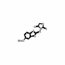 COc1ccc2s/c(=N\N3C(=O)CSC3=S)sc2c1